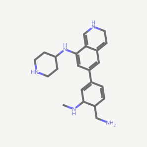 CNC1C=C(c2cc(NC3CCNCC3)c3c(c2)=CCNC=3)C=CC1CN